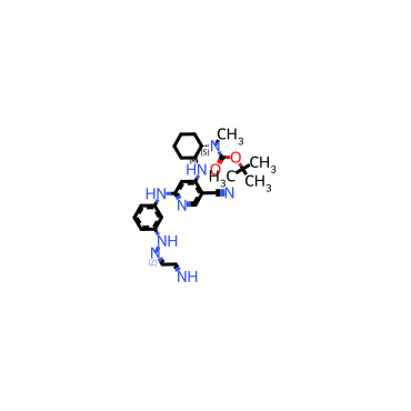 CN(C(=O)OC(C)(C)C)[C@H]1CCCC[C@H]1Nc1cc(Nc2cccc(N/N=C\C=N)c2)ncc1C#N